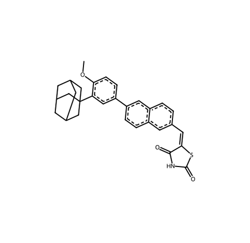 COc1ccc(-c2ccc3cc(C=C4SC(=O)NC4=O)ccc3c2)cc1C12CC3CC(CC(C3)C1)C2